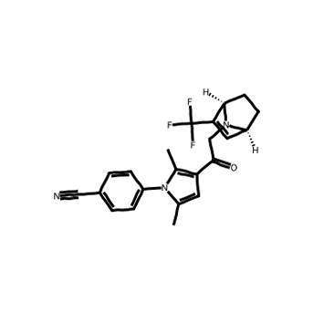 Cc1cc(C(=O)CN2[C@@H]3C=C(C(F)(F)F)[C@H]2CC3)c(C)n1-c1ccc(C#N)cc1